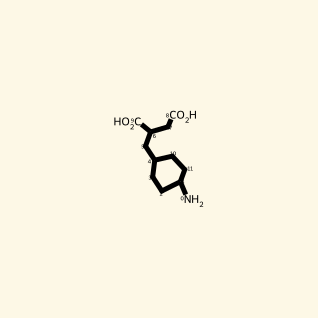 NC1CCC(CC(CC(=O)O)C(=O)O)CC1